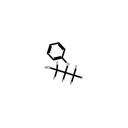 OC(F)(F)C(F)(Oc1ccccc1)C(F)(F)F